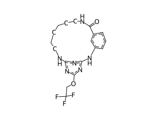 O=C1NCCCCCCNc2nc(nc(OCC(F)(F)F)n2)Nc2cccc1c2